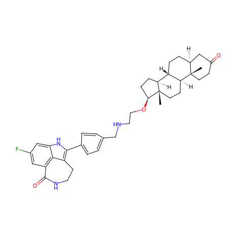 C[C@]12CCC(=O)C[C@@H]1CC[C@@H]1[C@@H]2CC[C@]2(C)[C@@H](OCCNCc3ccc(-c4[nH]c5cc(F)cc6c5c4CCNC6=O)cc3)CC[C@@H]12